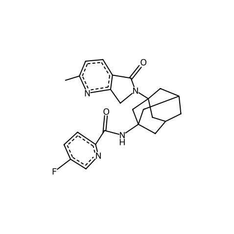 Cc1ccc2c(n1)CN(C13CC4CC(CC(NC(=O)c5ccc(F)cn5)(C4)C1)C3)C2=O